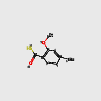 CCOc1cc(C(C)(C)C)ccc1C(=O)S